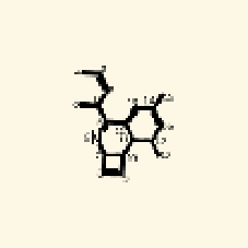 C=C(/C=C\C)C1=NC2C=CC2C2C1=CC(C)=CC2C